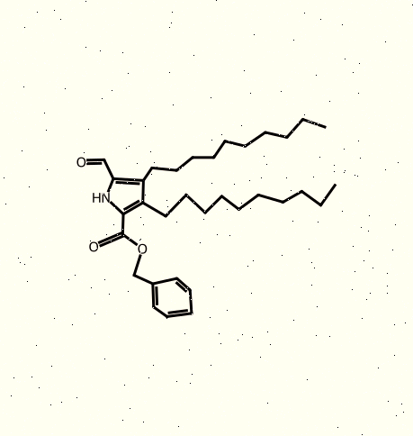 CCCCCCCCCCc1c(C=O)[nH]c(C(=O)OCc2ccccc2)c1CCCCCCCCCC